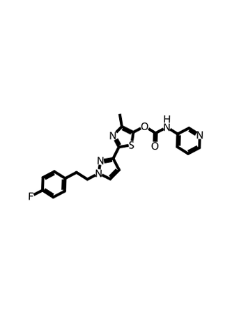 Cc1nc(-c2ccn(CCc3ccc(F)cc3)n2)sc1OC(=O)Nc1cccnc1